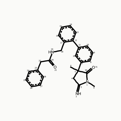 CN1C(=N)CC(C)(c2cccc(-c3ccccc3CNC(=O)Cc3ccccc3)c2)C1=O